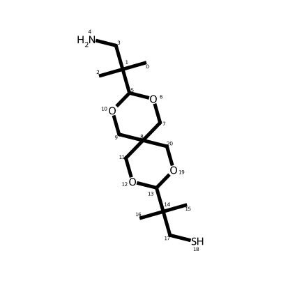 CC(C)(CN)C1OCC2(CO1)COC(C(C)(C)CS)OC2